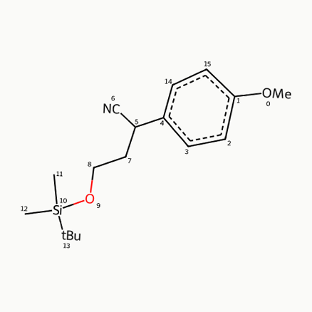 COc1ccc(C(C#N)CCO[Si](C)(C)C(C)(C)C)cc1